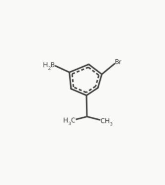 Bc1cc(Br)cc(C(C)C)c1